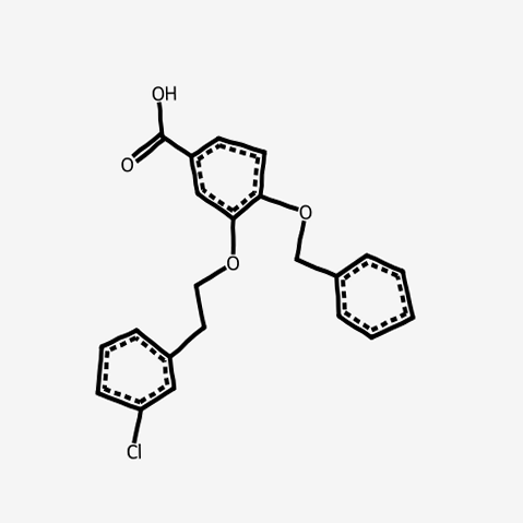 O=C(O)c1ccc(OCc2ccccc2)c(OCCc2cccc(Cl)c2)c1